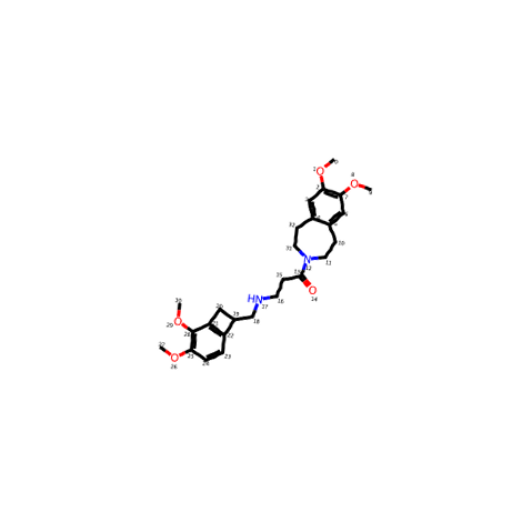 COc1cc2c(cc1OC)CCN(C(=O)CCNCC1Cc3c1ccc(OC)c3OC)CC2